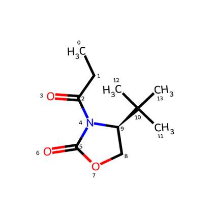 CCC(=O)N1C(=O)OC[C@@H]1C(C)(C)C